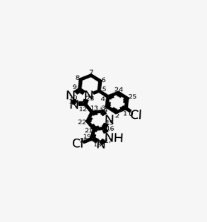 Clc1ccc(C2CCCc3nnc(-c4cnc5[nH]nc(Cl)c5c4)n32)cc1